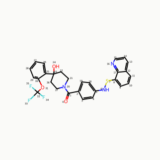 O=C(c1ccc(NSc2cccc3cccnc23)cc1)N1CCC(O)(c2ccccc2OC(F)(F)F)CC1